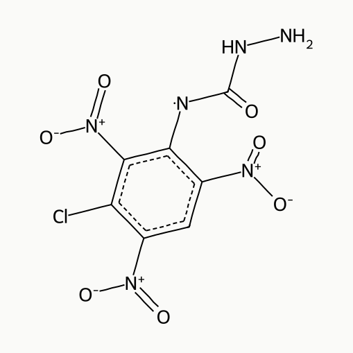 NNC(=O)[N]c1c([N+](=O)[O-])cc([N+](=O)[O-])c(Cl)c1[N+](=O)[O-]